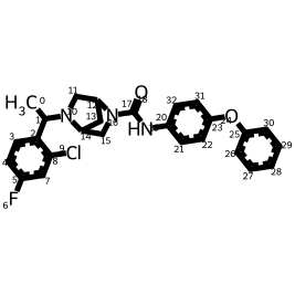 CC(c1ccc(F)cc1Cl)N1CC2CC1CN2C(=O)Nc1ccc(Oc2ccccc2)cc1